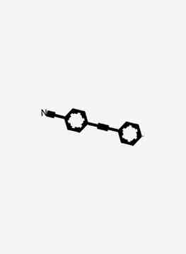 N#Cc1ccc(C#Cc2cc[c]cc2)cc1